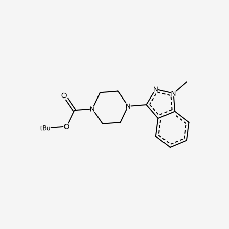 Cn1nc(N2CCN(C(=O)OC(C)(C)C)CC2)c2ccccc21